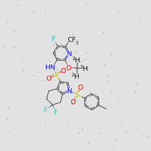 [2H]C([2H])([2H])Oc1nc(C(F)(F)F)c(F)cc1NS(=O)(=O)c1cn(S(=O)(=O)c2ccc(C)cc2)c2c1CCC(F)(F)C2